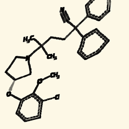 COc1c(Cl)cccc1O[C@@H]1CCN(C(C)(C)CCC(C#N)(c2ccccc2)c2ccccc2)C1